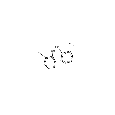 Cc1ccccc1O.Oc1ccccc1Cl